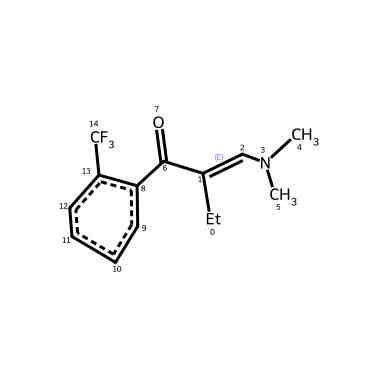 CC/C(=C\N(C)C)C(=O)c1ccccc1C(F)(F)F